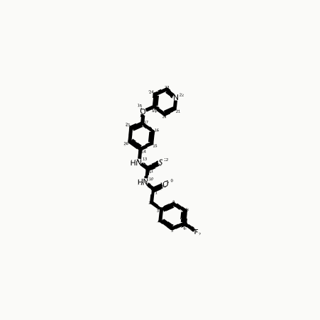 O=C(Cc1ccc(F)cc1)NC(=S)Nc1ccc(Oc2ccncc2)cc1